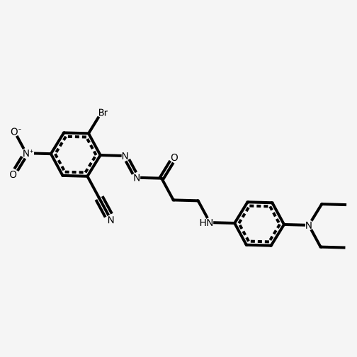 CCN(CC)c1ccc(NCCC(=O)N=Nc2c(Br)cc([N+](=O)[O-])cc2C#N)cc1